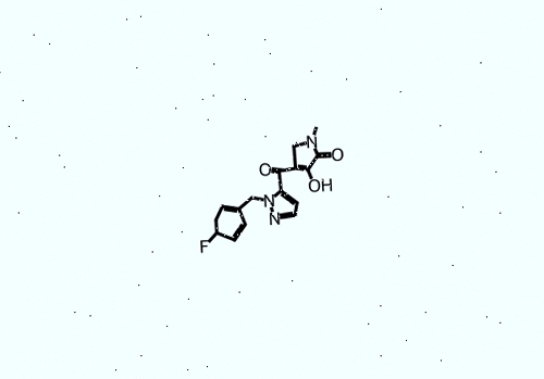 CN1CC(C(=O)c2ccnn2CC2=CCC(F)C=C2)=C(O)C1=O